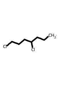 [CH2]CCC(Cl)CCCCl